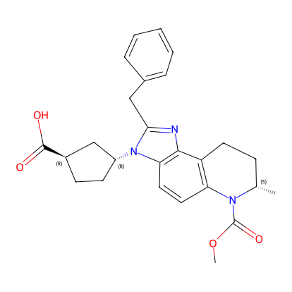 COC(=O)N1c2ccc3c(nc(Cc4ccccc4)n3[C@@H]3CC[C@@H](C(=O)O)C3)c2CC[C@@H]1C